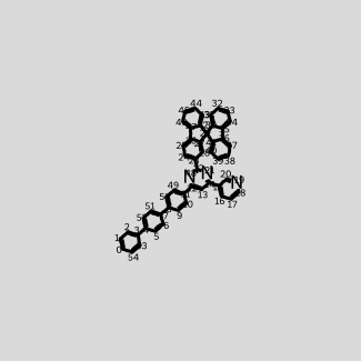 c1ccc(-c2ccc(-c3ccc(-c4cc(-c5cccnc5)nc(-c5ccc6c(c5)C5(c7ccccc7-c7ccccc75)c5ccccc5-6)n4)cc3)cc2)cc1